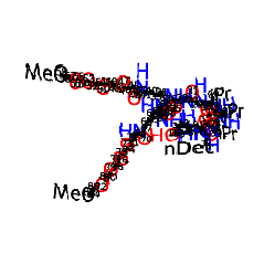 CCCCCCCCCCCC(=O)N[C@@H](Cc1ccc(O)cc1)C(=O)NC(C(=O)NC(C(=O)NC(C(=O)NCC(=O)NCC(=O)NC(CCCCNC(=O)CCOCCOCCOCCOCCOC)C(=O)NC(CCCCNC(=O)CCOCCOCCOCCOCCOC)C(N)=O)C(C)C)C(C)C)C(C)C